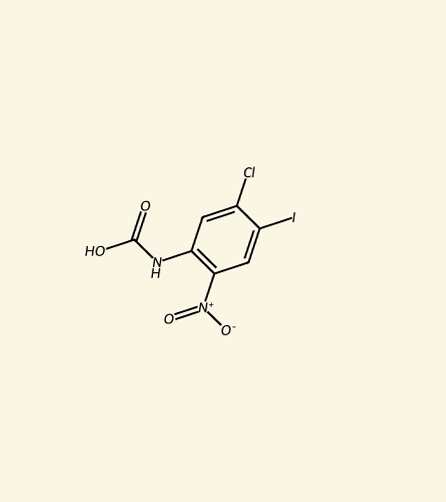 O=C(O)Nc1cc(Cl)c(I)cc1[N+](=O)[O-]